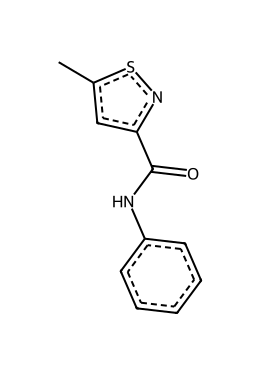 Cc1cc(C(=O)Nc2ccccc2)ns1